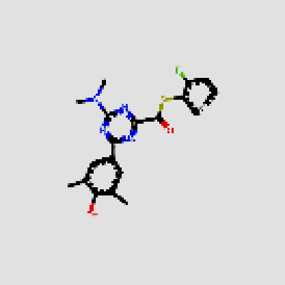 Cc1cc(-c2nc(C(=O)Sc3ccccc3F)nc(N(C)C)n2)cc(C)c1O